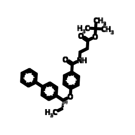 CC[C@@H](Oc1ccc(C(=O)NCCC(=O)OC(C)(C)C)cc1)c1ccc(-c2ccccc2)cc1